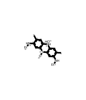 CCNc1cc2c(cc1C)Nc1cc(C)c(NCC)cc1[S+]2[O-].Cl